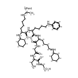 CCCCC[C@H](C)NCCCCC(NC1CCCCC1)C(=O)NC(CCCCNc1ccccc1)C(=O)NC(CCCCNC1CCCCC1)C(=O)NCC(=O)NC(CO)C(=O)NCC(=O)O